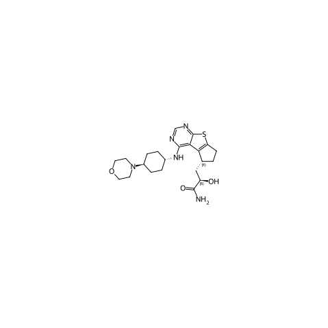 NC(=O)[C@H](O)C[C@H]1CCc2sc3ncnc(N[C@H]4CC[C@H](N5CCOCC5)CC4)c3c21